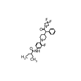 CCC(CC)C(=O)Nc1ccc(N2CCC(C(C(=O)N3CC(F)(F)C3)c3ccccc3)CC2)c(F)c1